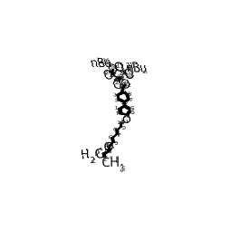 C=C(C)COCCCCCCOc1ccc(-c2ccc(C3O[C@@H](C(=O)OCCCC)[C@H](C(=O)OCCCC)O3)cc2)cc1